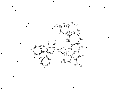 C=C[C@H](O[Si](c1ccccc1)(c1ccccc1)C(C)(C)C)[C@@H]1CC[C@H]1CN1C[C@@]2(CCCc3cc(Cl)ccc32)COc2ccc(C(O)(CN)C(=O)OC)cc21